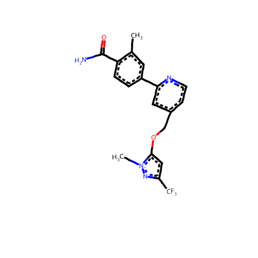 Cc1cc(-c2cc(COc3cc(C(F)(F)F)nn3C)ccn2)ccc1C(N)=O